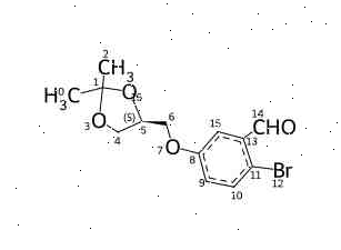 CC1(C)OC[C@H](COc2ccc(Br)c(C=O)c2)O1